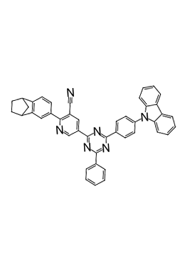 N#Cc1cc(-c2nc(-c3ccccc3)nc(-c3ccc(-n4c5ccccc5c5ccccc54)cc3)n2)cnc1-c1ccc2c(c1)C1CCC2C1